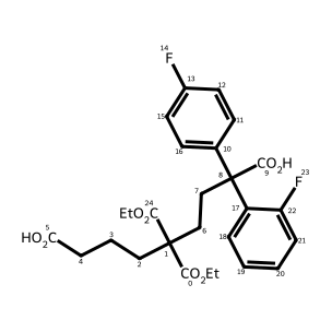 CCOC(=O)C(CCCC(=O)O)(CCC(C(=O)O)(c1ccc(F)cc1)c1ccccc1F)C(=O)OCC